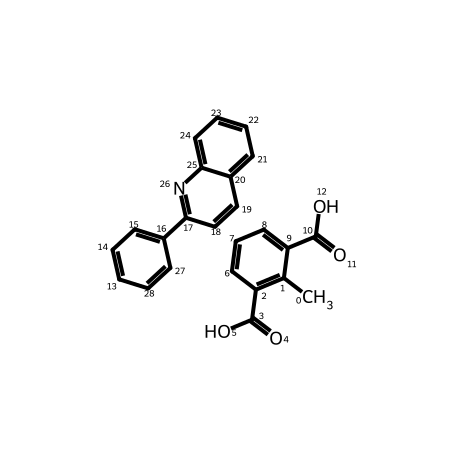 Cc1c(C(=O)O)cccc1C(=O)O.c1ccc(-c2ccc3ccccc3n2)cc1